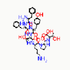 C[C@@H](O)[C@H](NC(=O)[C@@H]1CCCN1C(=O)[C@H](CCCCN)NC(=O)[C@@H](NC(=O)[C@H](Cc1ccc(O)cc1)NC(=O)[C@H](Cc1ccccc1)NC(=O)[C@@H](N)Cc1ccccc1)[C@@H](C)O)C(=O)O